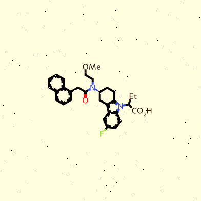 CCC(C(=O)O)n1c2c(c3cc(F)ccc31)C[C@@H](N(CCOC)C(=O)Cc1cccc3ccccc13)CC2